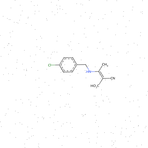 C/C(NCc1ccc(Cl)cc1)=C(\C#N)C(=O)O